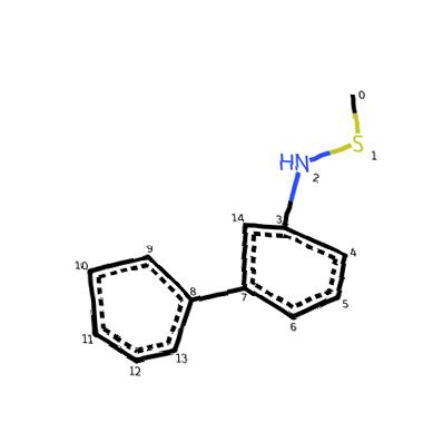 CSNc1cccc(-c2ccccc2)c1